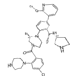 CCOc1ncccc1-c1ccc(N2CCN(C(=O)c3ccc(Cl)cc3N3CCNCC3)C[C@H]2CC)c(C(=O)N[C@@H]2CCNC2)c1